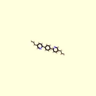 CCCc1ccc(-c2ccc(-c3ccc(CCC)cn3)cc2)nc1